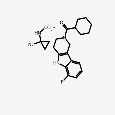 N#CC1(NC(=O)O)CC1.O=C(C1CCCCC1)N1CCc2[nH]c3c(F)cccc3c2C1